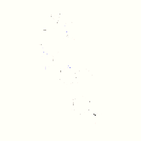 CCCC1(N(C)C(=O)OCc2c(-c3ccc(O[C@H]4CCC[C@H](C(=O)O)C4)c(CC)n3)nnn2C)CC1